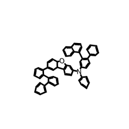 C1=CC2Oc3cc(N(c4ccccc4)c4ccc(-c5ccccc5)c(-c5cccc6ccccc56)c4)ccc3C2C=C1c1ccccc1-c1ccccc1-c1ccccc1